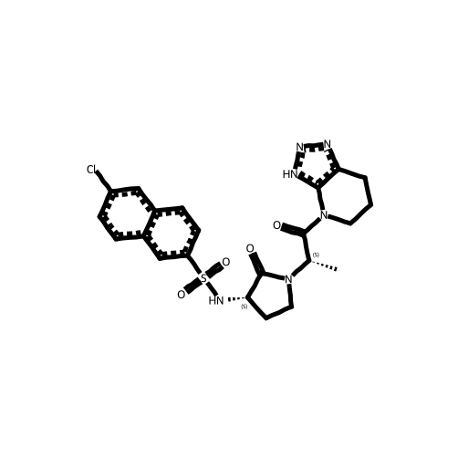 C[C@@H](C(=O)N1CCCc2nn[nH]c21)N1CC[C@H](NS(=O)(=O)c2ccc3cc(Cl)ccc3c2)C1=O